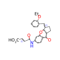 CCOc1ccccc1/C=C1/CCc2c1oc1cc(NC(=O)/C=C/C(=O)O)ccc1c2=O